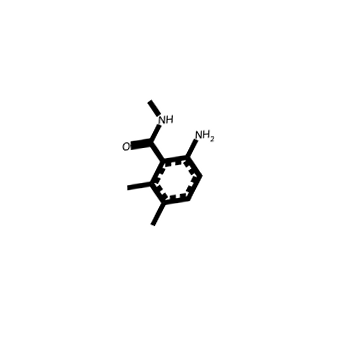 CNC(=O)c1c(N)ccc(C)c1C